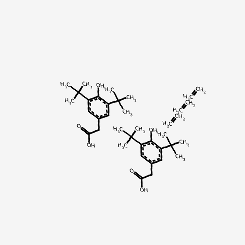 C=C.C=C.C=C.CC(C)(C)c1cc(CC(=O)O)cc(C(C)(C)C)c1O.CC(C)(C)c1cc(CC(=O)O)cc(C(C)(C)C)c1O